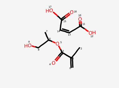 C=C(C)C(=O)OC(C)CO.O=C(O)/C=C\C(=O)O